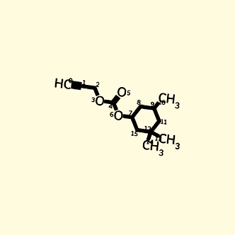 C#CCOC(=O)OC1CC(C)CC(C)(C)C1